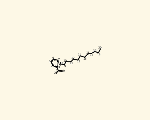 C=C(C)c1cccc[n+]1CCCCCCCCCCCC